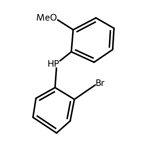 COc1ccccc1Pc1ccccc1Br